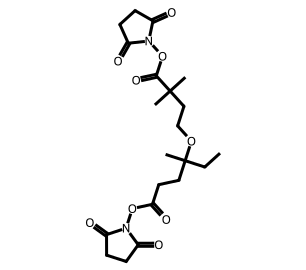 CCC(C)(CCC(=O)ON1C(=O)CCC1=O)OCCC(C)(C)C(=O)ON1C(=O)CCC1=O